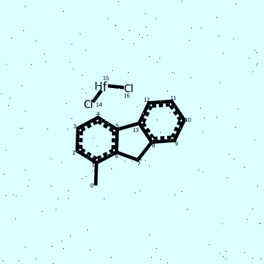 Cc1cccc2c1[CH]c1ccccc1-2.[Cl][Hf][Cl]